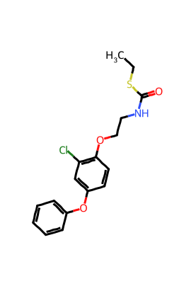 CCSC(=O)NCCOc1ccc(Oc2ccccc2)cc1Cl